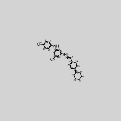 Clc1ccc(Nc2cc(Cl)nc(N/N=C/c3ccc(N4CCCCC4)cc3)n2)cc1